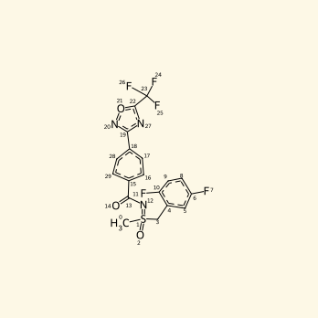 CS(=O)(Cc1cc(F)ccc1F)=NC(=O)c1ccc(-c2noc(C(F)(F)F)n2)cc1